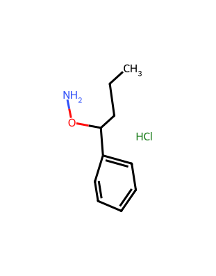 CCCC(ON)c1ccccc1.Cl